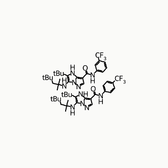 CC(C)(C)CC(C)(C)Nc1c(C(C)(C)C)[nH]c2c(C(=O)Nc3ccc(C(F)(F)F)cc3)cnn12.CC(C)(C)CC(C)(C)Nc1c(C(C)(C)C)[nH]c2c(C(=O)Nc3cccc(C(F)(F)F)c3)cnn12